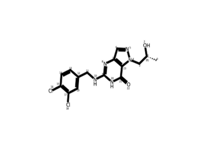 C[C@@H](O)Cn1ncc2nc(NCc3ccc(Cl)c(Cl)c3)[nH]c(=O)c21